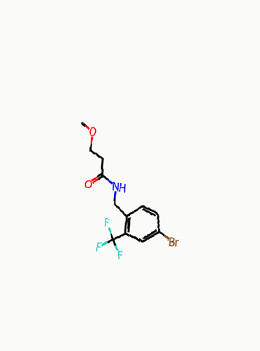 COCCC(=O)NCc1ccc(Br)cc1C(F)(F)F